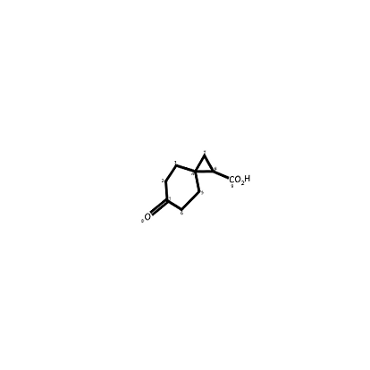 O=C1CCC2(CC1)CC2C(=O)O